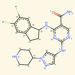 NC(=O)c1cnc(Nc2cnn(C3CCNCC3)c2)nc1NC1CCc2cc(F)c(F)cc21